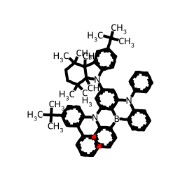 CC(C)(C)c1ccc(N2c3ccccc3B3c4ccccc4N(c4ccccc4)c4cc(N5c6ccc(C(C)(C)C)cc6C6(C)C(C)(C)CCC(C)(C)C56C)cc2c43)c(-c2ccccc2)c1